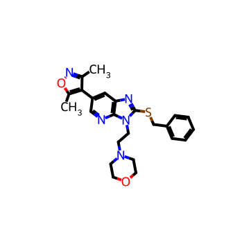 Cc1noc(C)c1-c1cnc2c(c1)nc(SCc1ccccc1)n2CCN1CCOCC1